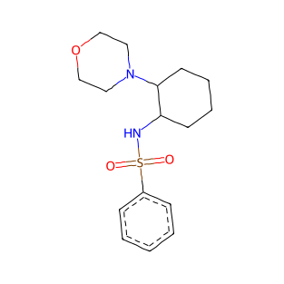 O=S(=O)(NC1CCCCC1N1CCOCC1)c1ccccc1